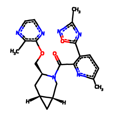 Cc1ccc(-c2nc(C)no2)c(C(=O)N2C[C@@H]3C[C@@H]3C[C@H]2COc2nccnc2C)n1